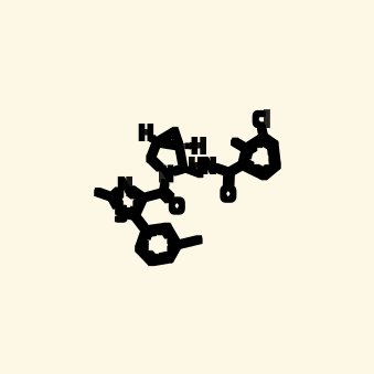 Cc1cccc(-c2sc(C)nc2C(=O)N2C[C@H]3C[C@H]3[C@H]2CNC(=O)c2cccc(Cl)c2C)c1